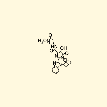 CN1CC(NC(=O)c2nc(-c3nc4ccccc4n3C3CCC3)n(C)c(=O)c2O)CC1=O